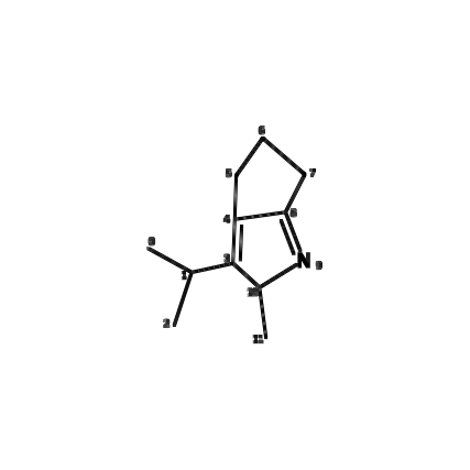 CC(C)C1=C2CCCC2=NC1C